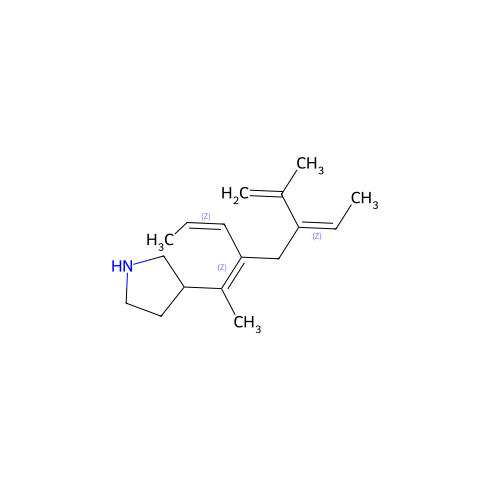 C=C(C)/C(=C\C)CC(/C=C\C)=C(\C)C1CCNC1